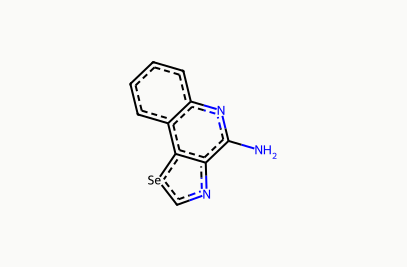 Nc1nc2ccccc2c2[se]cnc12